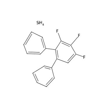 Fc1cc(-c2ccccc2)c(-c2ccccc2)c(F)c1F.[SiH4]